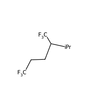 CC(C)C(CCC(F)(F)F)C(F)(F)F